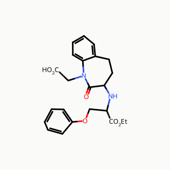 CCOC(=O)C(COc1ccccc1)NC1CCc2ccccc2N(CC(=O)O)C1=O